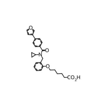 O=C(O)CCCCCOc1ccccc1CN(C(=O)c1ccc(-c2ccoc2)cc1)C1CC1